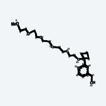 COCCOCCOCCOCCOCCOC1(c2nccc(CO)n2)CCC1